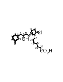 Cc1cccc(C[C@@H](O)CCN2CC[C@@H](Cl)[C@@H]2C/C=C\CCCC(=O)O)c1